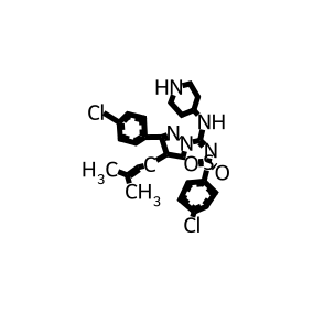 CC(C)=CCC1CN(/C(=N\S(=O)(=O)c2ccc(Cl)cc2)NC2CCNCC2)N=C1c1ccc(Cl)cc1